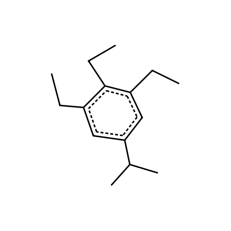 CCc1cc(C(C)C)cc(CC)c1CC